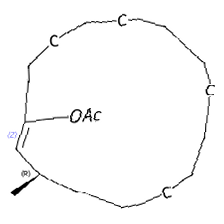 CC(=O)O/C1=C\[C@H](C)CCCCCCCCCCCC1